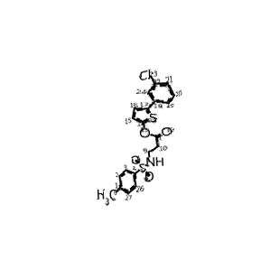 Cc1ccc(S(=O)(=O)NCCC(=O)Oc2ccc(-c3cccc(Cl)c3)s2)cc1